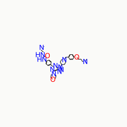 CN(C)CCCOc1ccc(CN2CCC(n3nnc4c(N5CCOCC5)nc(-c5ccc(NC(=O)NCCN(C)C)cc5)nc43)CC2)cc1